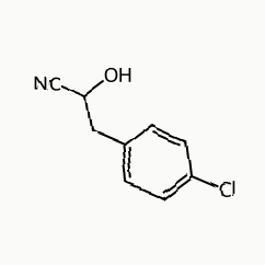 N#CC(O)Cc1ccc(Cl)cc1